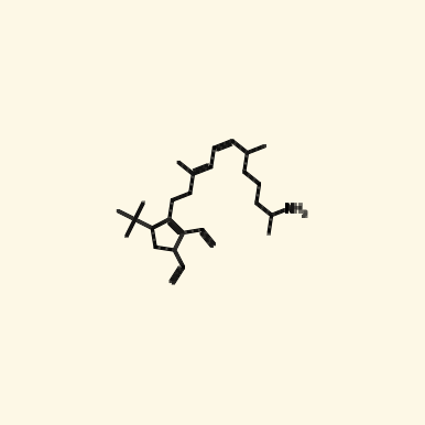 C=CC1=C(CC/C(C)=C/C=C\C(C)CCCC(C)N)C(C(C)(C)C)CC1C=C